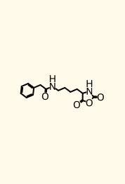 O=C(Cc1ccccc1)NCCCCC1NC(=O)OC1=O